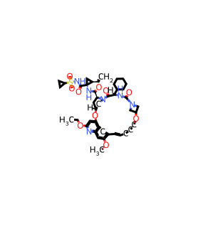 C=C[C@@H]1C[C@]1(NC(=O)[C@@H]1C[C@@H]2CN1C(=O)[C@H](C1CCCCC1)NC(=O)N1CC(C1)OCCC/C=C/c1cc3c(cc(OCC)nc3cc1OC)O2)C(=O)NS(=O)(=O)C1CC1